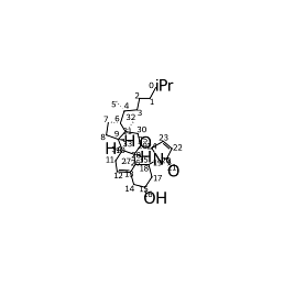 CC(C)CCC[C@@H](C)[C@H]1CC[C@H]2[C@@H]3CC=C4C[C@@H](O)CC(N5C(=O)C=CC5=O)[C@]4(C)[C@H]3CC[C@]12C